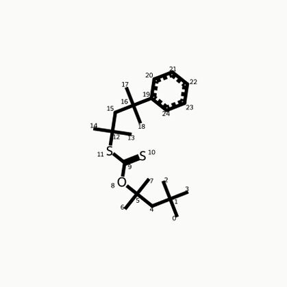 CC(C)(C)CC(C)(C)OC(=S)SC(C)(C)CC(C)(C)c1ccccc1